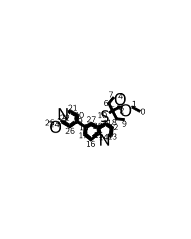 CCOC(=O)C(CC)(CC)Sc1ccnc2ccc(-c3ccnc(OC)c3)cc12